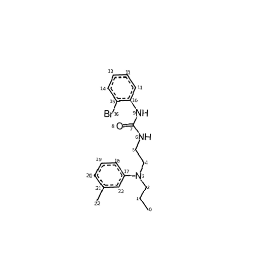 CCCN(CCNC(=O)Nc1ccccc1Br)c1cccc(C)c1